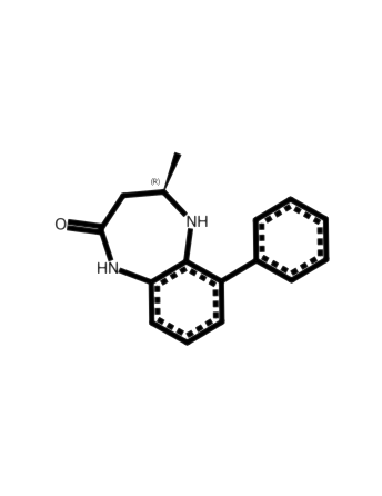 C[C@@H]1CC(=O)Nc2cccc(-c3ccccc3)c2N1